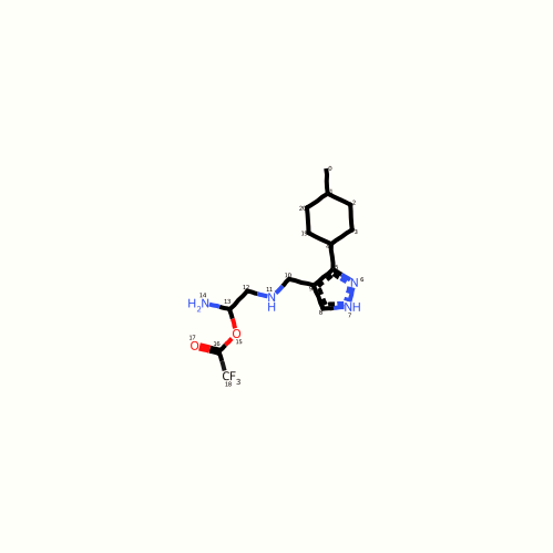 CC1CCC(c2n[nH]cc2CNCC(N)OC(=O)C(F)(F)F)CC1